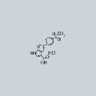 CS(=O)(=O)c1ccc(-c2cnc3[nH]cc(C(=O)O)c3c2)cc1.Cl